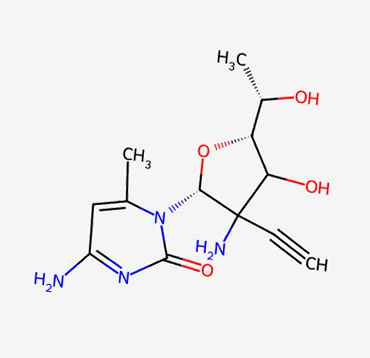 C#CC1(N)C(O)[C@@H]([C@H](C)O)O[C@H]1n1c(C)cc(N)nc1=O